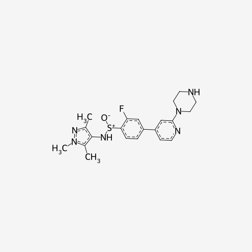 Cc1nn(C)c(C)c1N[S+]([O-])c1ccc(-c2ccnc(N3CCNCC3)c2)cc1F